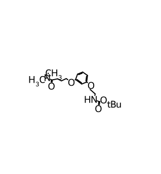 CN(C)C(=O)CCCOc1cccc(OCCNC(=O)OC(C)(C)C)c1